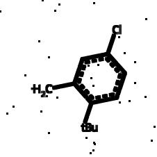 [CH2]c1cc(Cl)ccc1C(C)(C)C